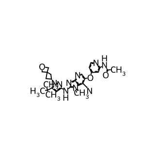 CC(=O)Nc1cc(Oc2cnc3nc(Nc4cc(C(C)(C)C)n(C5CC6(COC6)C5)n4)n(C)c3c2C#N)ccn1